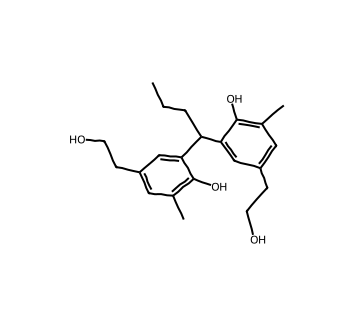 CCCC(c1cc(CCO)cc(C)c1O)c1cc(CCO)cc(C)c1O